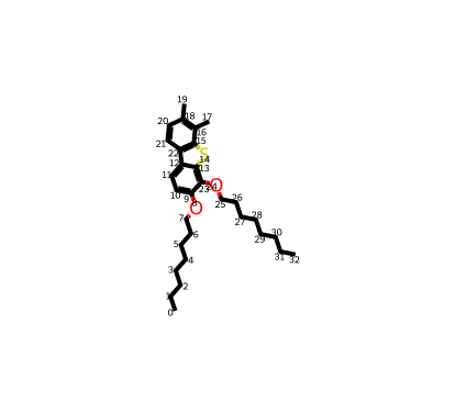 CCCCCCCCOc1ccc2c(sc3c(C)c(C)ccc32)c1OCCCCCCCC